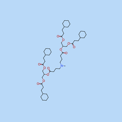 CN(CCCC(=O)OC(COC(=O)CCC1CCCCC1)COC(=O)CCC1CCCCC1)CCCC(=O)OC(COC(=O)CCC1CCCCC1)COC(=O)CCC1CCCCC1